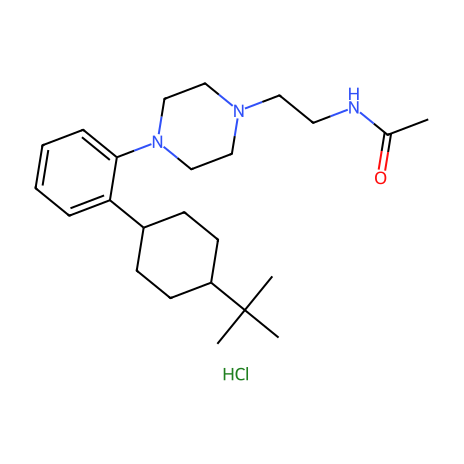 CC(=O)NCCN1CCN(c2ccccc2C2CCC(C(C)(C)C)CC2)CC1.Cl